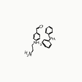 NCCN.O=Cc1ccccc1.c1ccc(Pc2ccccc2)cc1